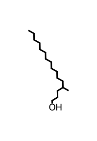 CCCCCCCCCCCCC(C)CCCO